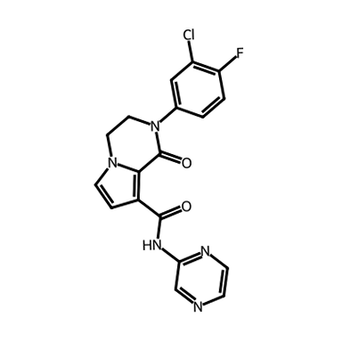 O=C(Nc1cnccn1)c1ccn2c1C(=O)N(c1ccc(F)c(Cl)c1)CC2